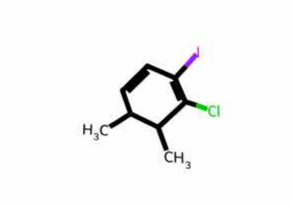 CC1C=CC(I)=C(Cl)C1C